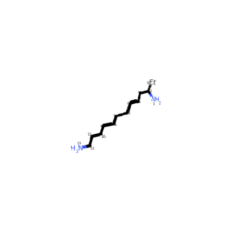 CCC(N)CC=CCCC=CCCCN